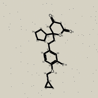 O=C1CC(=O)OC(CCc2ccc(OCC3CC3)c(F)c2)(C2CCCC2)C1